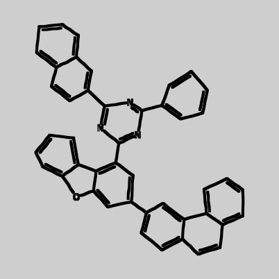 c1ccc(-c2nc(-c3ccc4ccccc4c3)nc(-c3cc(-c4ccc5ccc6ccccc6c5c4)cc4oc5ccccc5c34)n2)cc1